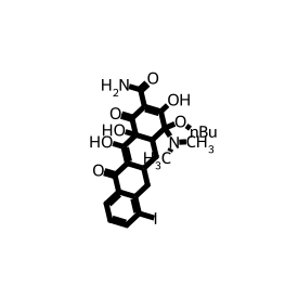 CCCCOC1(N(C)C)C(O)=C(C(N)=O)C(=O)C2(O)C(O)=C3C(=O)c4cccc(I)c4CC3CC21